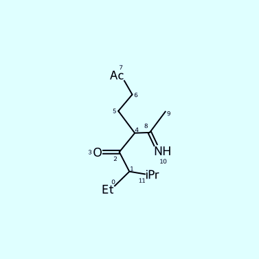 CCC(C(=O)C(CCC(C)=O)C(C)=N)C(C)C